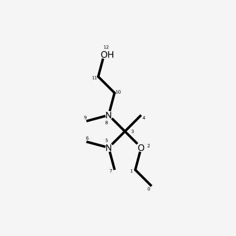 CCOC(C)(N(C)C)N(C)CCO